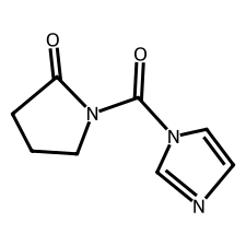 O=C1CCCN1C(=O)n1ccnc1